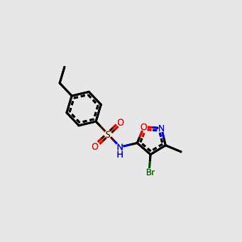 CCc1ccc(S(=O)(=O)Nc2onc(C)c2Br)cc1